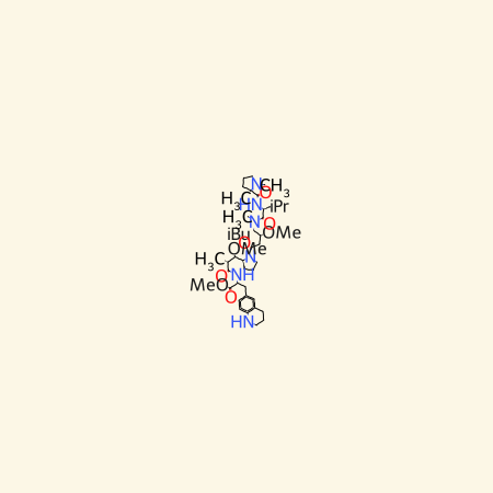 CC[C@H](C)[C@@H]([C@@H](CC(=O)N1CCC[C@H]1[C@H](OC)[C@@H](C)C(=O)NC(Cc1ccc2c(c1)CCCN2)C(=O)OC)OC)N(C)C(=O)[C@@H](NC(=O)[C@@]1(C)CCCN1C)C(C)C